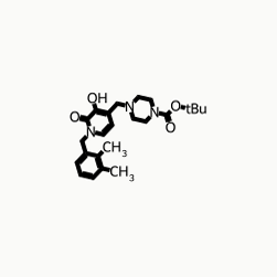 Cc1cccc(Cn2ccc(CN3CCN(C(=O)OC(C)(C)C)CC3)c(O)c2=O)c1C